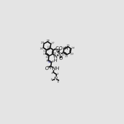 CN(C)CCNC(=O)/C=C/c1cc2c(c(C(=O)O)c1NS(=O)(=O)c1ccccc1)CCCC2